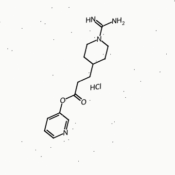 Cl.N=C(N)N1CCC(CCC(=O)Oc2cccnc2)CC1